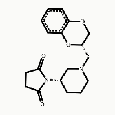 O=C1CCC(=O)N1[C@H]1CCCN(C[C@H]2COc3ccccc3O2)C1